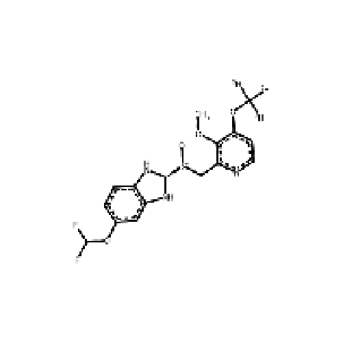 [2H]C([2H])([2H])Oc1ccnc(C[S+]([O-])[C@@H]2Nc3ccc(OC(F)F)cc3N2)c1OC